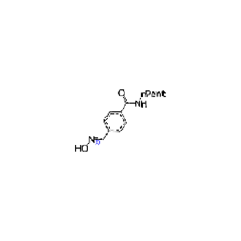 CCCCCNC(=O)c1ccc(/C=N/O)cc1